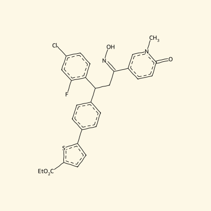 CCOC(=O)c1ccc(-c2ccc(C(CC(=NO)c3ccc(=O)n(C)c3)c3ccc(Cl)cc3F)cc2)s1